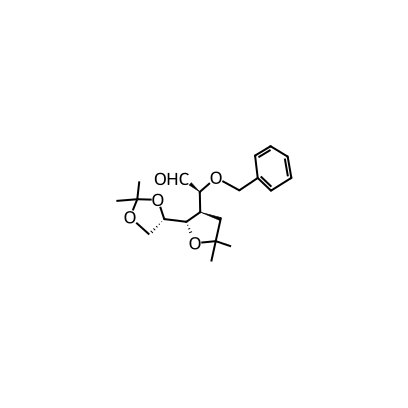 CC1(C)C[C@H]([C@@H](C=O)OCc2ccccc2)[C@@H]([C@@H]2COC(C)(C)O2)O1